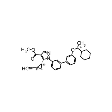 C#C[C@@H]1C[C@H]1c1c(C(=O)OC)cnn1-c1cccc(-c2cccc(O[C@@H](C)C3CCCCC3)c2)c1